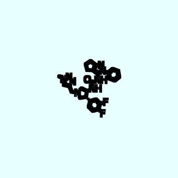 Cn1cc(CN2C[C@@H](NC(=O)Nc3c4c(nn3-c3ccccc3)CCC4)[C@H](c3ccc(F)c(F)c3)C2)nn1